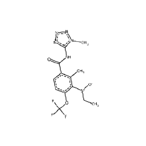 CC[S+]([O-])c1c(OC(F)(F)F)ccc(C(=O)Nc2nnnn2C)c1C